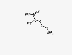 NCCCC(P)C(=O)O